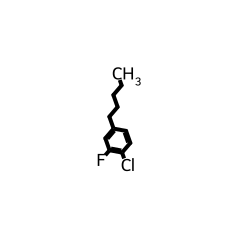 CCCCCc1ccc(Cl)c(F)c1